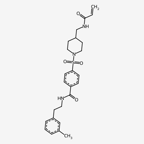 C=CC(=O)NCC1CCN(S(=O)(=O)c2ccc(C(=O)NCCc3cccc(C)c3)cc2)CC1